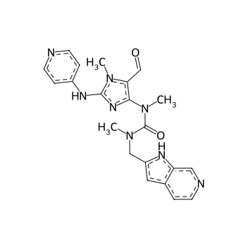 CN(Cc1cc2ccncc2[nH]1)C(=O)N(C)c1nc(Nc2ccncc2)n(C)c1C=O